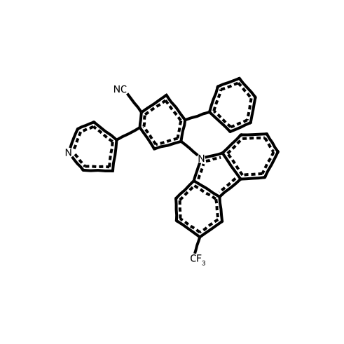 N#Cc1cc(-c2ccccc2)c(-n2c3ccccc3c3cc(C(F)(F)F)ccc32)cc1-c1ccncc1